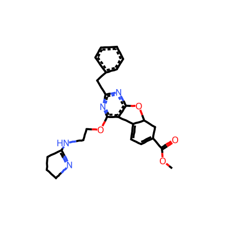 COC(=O)C1=CC=C2c3c(OCCNC4=NCCC4)nc(Cc4ccccc4)nc3OC2C1